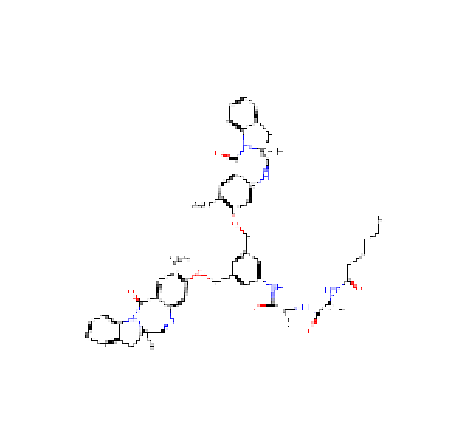 COc1cc2c(cc1OCc1cc(COc3cc4c(cc3OC)C(=O)N3c5ccccc5C[C@H]3C=N4)cc(NC(=O)[C@@H](C)NC(=O)[C@H](C)NC(=O)CCCCC(C)=O)c1)N=C[C@@H]1Cc3ccccc3N1C2=O